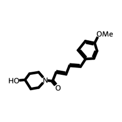 COc1ccc(/C=C/C=C/C(=O)N2CCC(O)CC2)cc1